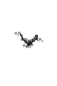 C[C@H](CC(=O)N1CCC(O)(Cn2cnc3c(-c4ccc(CNC(=O)CCOCCN)cc4)n(C)nc3c2=O)CC1)c1ccccc1.Cl